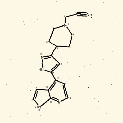 N#CCN1CCC(c2cc(-c3ccnc4[nH]ccc34)[nH]n2)CC1